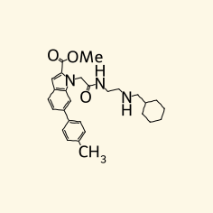 COC(=O)c1cc2ccc(-c3ccc(C)cc3)cc2n1CC(=O)NCCNCC1CCCCC1